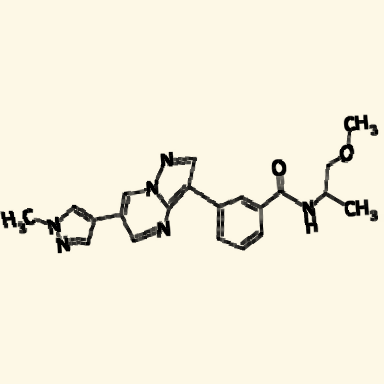 COCC(C)NC(=O)c1cccc(-c2cnn3cc(-c4cnn(C)c4)cnc23)c1